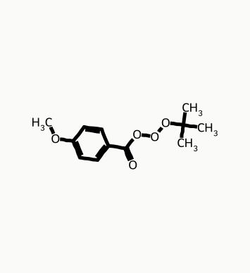 COc1ccc(C(=O)OOOC(C)(C)C)cc1